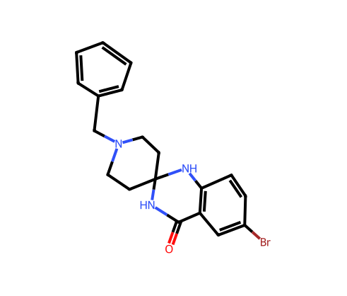 O=C1NC2(CCN(Cc3ccccc3)CC2)Nc2ccc(Br)cc21